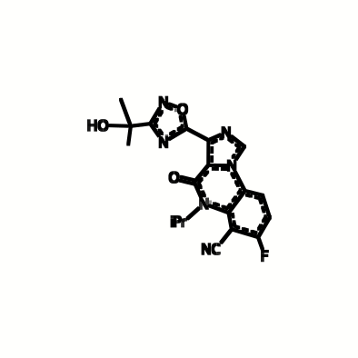 CC(C)n1c(=O)c2c(-c3nc(C(C)(C)O)no3)ncn2c2ccc(F)c(C#N)c21